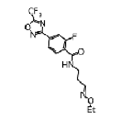 CCON=CCCNC(=O)c1ccc(-c2noc(C(F)(F)F)n2)cc1F